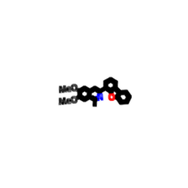 COc1cc2cc(-c3cccc4c3oc3ccccc34)nc(C)c2cc1OC